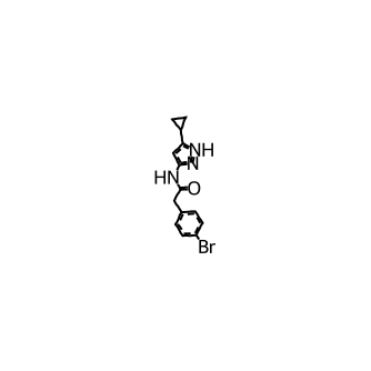 O=C(Cc1ccc(Br)cc1)Nc1cc(C2CC2)[nH]n1